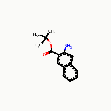 CC(C)(C)OC(=O)c1cc2ccccc2cc1N